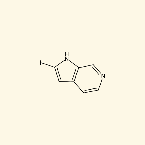 Ic1cc2ccncc2[nH]1